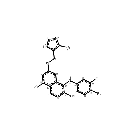 CC(C)c1nc[nH]c1CNc1cc(Cl)c2ncc(C#N)c(Nc3ccc(F)c(Cl)c3)c2c1